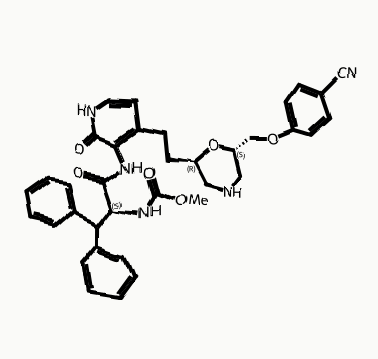 COC(=O)N[C@H](C(=O)Nc1c(CC[C@@H]2CNC[C@@H](COc3ccc(C#N)cc3)O2)cc[nH]c1=O)C(c1ccccc1)c1ccccc1